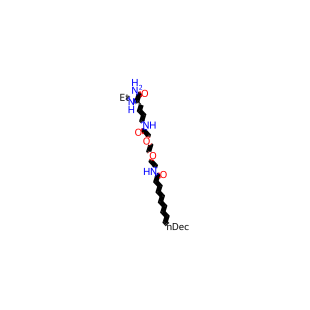 CCCCCCCCCCCCCCCCCCCC(=O)NCCOCCOCC(=O)NCCCC[C@H](NCC)C(N)=O